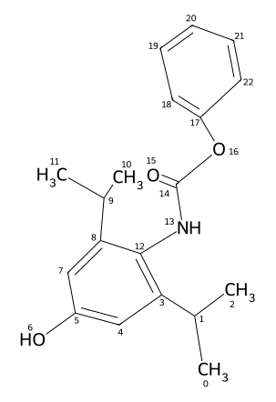 CC(C)c1cc(O)cc(C(C)C)c1NC(=O)Oc1ccccc1